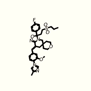 CCCS(=O)(=O)CCC1(c2ccc(F)cc2)ON=C2/C(=C/c3ccc(-n4cnc(C)c4)c(OC)c3)CC3(CCOCC3)CN21